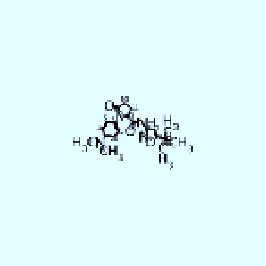 CN(C)c1ccc(N2C(=O)CC[C@H]2C(=O)Nc2cc(C(C)(C)C)on2)cc1